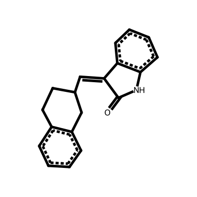 O=C1Nc2ccccc2C1=CC1CCc2ccccc2C1